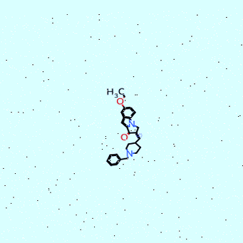 CCOc1ccc2c(c1)cc1n2C/C(=C/C2CCN(Cc3ccccc3)CC2)C1=O